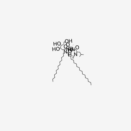 CCCCCCCCCCCCCCCCCC(=O)N(CCCCCCCCCCCCCC)[C@@]1(NC(=O)[C@H](C)NC(=O)[C@@H](N)CC(C)C)C[C@@H](O)[C@H](O)[C@@H](CO)O1